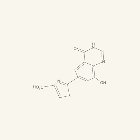 O=C(O)c1csc(-c2cc(O)c3nc[nH]c(=O)c3c2)n1